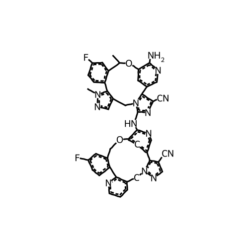 CC1Oc2cc(cnc2N)-c2c(C#N)nc(Nc3ncc4cc3OCc3cc(F)ccc3-c3ncccc3Cn3ncc(C#N)c3-4)n2Cc2cnn(C)c2-c2ccc(F)cc21